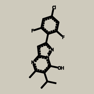 Cc1nc2cc(-c3c(F)cc(Cl)cc3F)nn2c(O)c1C(C)C